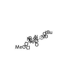 COc1ccc(-c2noc(-c3cnn4c(C5CCN(C(=O)OC(C)(C)C)CC5)cc(=O)[nH]c34)n2)cc1Cl